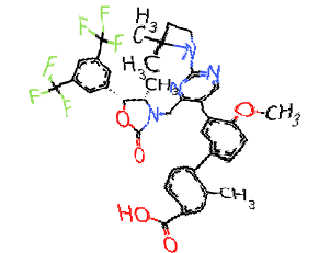 COc1ccc(-c2ccc(C(=O)O)cc2C)cc1-c1cnc(N2CCC2(C)C)nc1CN1C(=O)O[C@H](c2cc(C(F)(F)F)cc(C(F)(F)F)c2)[C@@H]1C